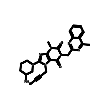 CC#CCn1c(N2CCCC(N)C2)nc2c1c(=O)n(Cc1nc(C)c3ccccc3n1)c(=O)n2C